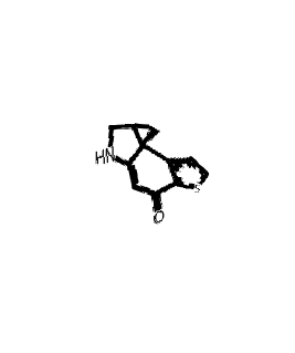 O=C1C=C2NCC3CC23c2ccsc21